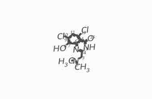 CN(C)Cc1nc2c(O)c(Cl)cc(Cl)c2c(=O)[nH]1